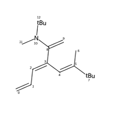 C=C/C=C(\C=C(/C)C(C)(C)C)C(=C)N(C)C(C)(C)C